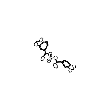 O=C(OS(=O)OC(=O)c1ccc2c(c1)OCO2)c1ccc2c(c1)OCO2